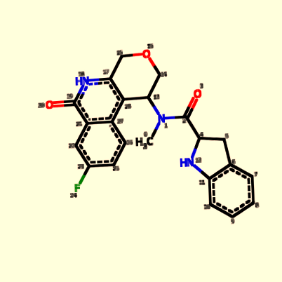 CN(C(=O)C1Cc2ccccc2N1)C1COCc2[nH]c(=O)c3cc(F)ccc3c21